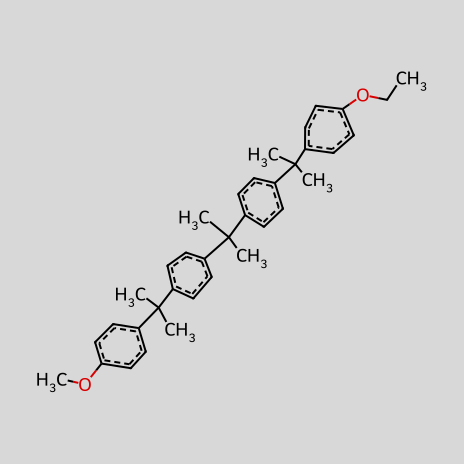 CCOc1ccc(C(C)(C)c2ccc(C(C)(C)c3ccc(C(C)(C)c4ccc(OC)cc4)cc3)cc2)cc1